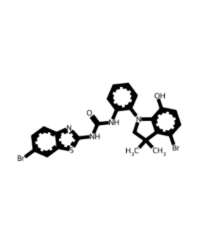 CC1(C)CN(c2ccccc2NC(=O)Nc2nc3ccc(Br)cc3s2)c2c(O)ccc(Br)c21